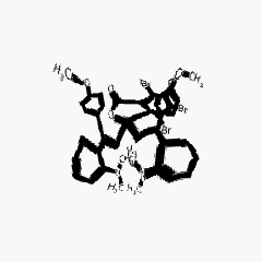 COc1ccc(/C(=C\C2(/C=C(\c3ccc(OC)cc3)c3ccccc3N(C)C)OC(=O)c3c(Br)c(Br)c(Br)c(Br)c32)c2ccccc2N(C)C)cc1